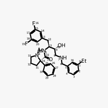 CCc1cccc(CNC[C@@H](O)[C@H](Cc2cc(F)cc(F)c2)NC(=O)[C@]2(c3ccccc3)CCCN2C(C)=O)c1